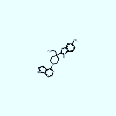 Cc1ccc2[nH]c(C3(CN)CCN(c4ncnc5[nH]ccc45)CC3)nc2c1